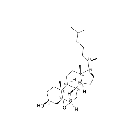 CC(C)CCC[C@@H](C)[C@H]1CC[C@H]2[C@@H]3C[C@H]4O[C@@]45C[C@@H](O)CC[C@]5(C)[C@H]3CC[C@]12C